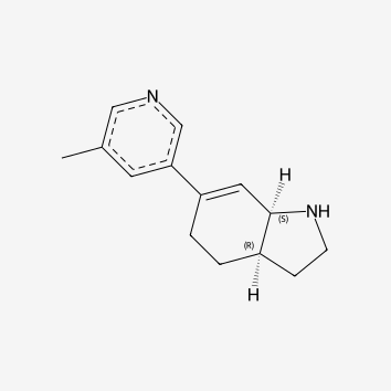 Cc1cncc(C2=C[C@H]3NCC[C@H]3CC2)c1